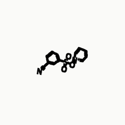 N#Cc1cccc(S(=O)(=O)O[n+]2ccccc2)c1